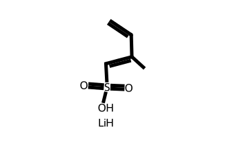 C=CC(C)=CS(=O)(=O)O.[LiH]